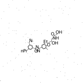 CCCc1cc(CN(C)C)cc(-c2nc(-c3cc(C)c(OCC(O)CNC(=O)CO)c(CC)c3)no2)c1